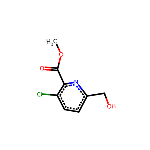 COC(=O)c1nc(CO)ccc1Cl